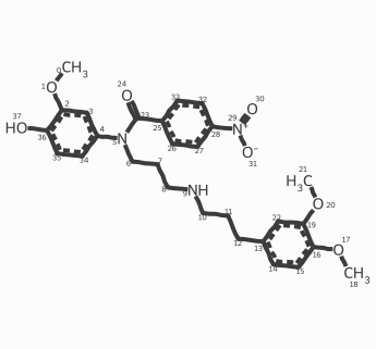 COc1cc(N(CCCNCCCc2ccc(OC)c(OC)c2)C(=O)c2ccc([N+](=O)[O-])cc2)ccc1O